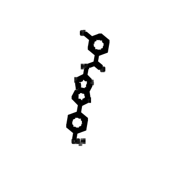 O=C(O)c1ccc(-c2cn3nc(NC(=O)c4cccc(Cl)c4)sc3n2)cc1